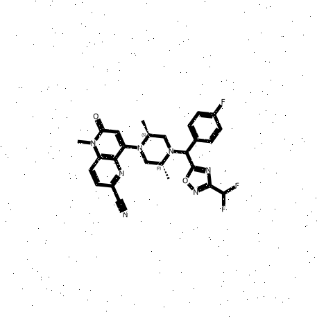 C[C@@H]1CN(c2cc(=O)n(C)c3ccc(C#N)nc23)[C@@H](C)CN1C(c1ccc(F)cc1)c1nc(C(F)F)no1